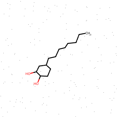 CCCCCCCCC1CCC(O)C(O)C1